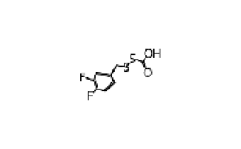 O=C(O)SSCc1ccc(F)c(F)c1